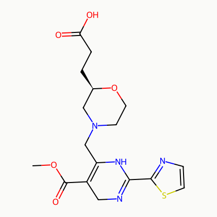 COC(=O)C1=C(CN2CCO[C@H](CCC(=O)O)C2)NC(c2nccs2)=NC1